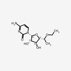 CCOC(C)[C@H]1O[C@@H](n2ccc(N)nc2=O)[C@@H](O)[C@@H]1O